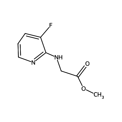 COC(=O)CNc1ncccc1F